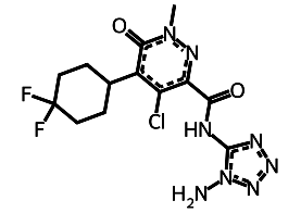 Cn1nc(C(=O)Nc2nnnn2N)c(Cl)c(C2CCC(F)(F)CC2)c1=O